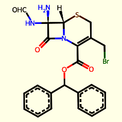 N[C@]1(NC=O)C(=O)N2C(C(=O)OC(c3ccccc3)c3ccccc3)=C(CBr)CS[C@H]21